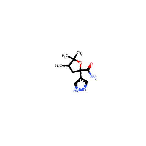 CC1CC(C(N)=O)(c2cn[nH]c2)OC1(C)C(F)(F)F